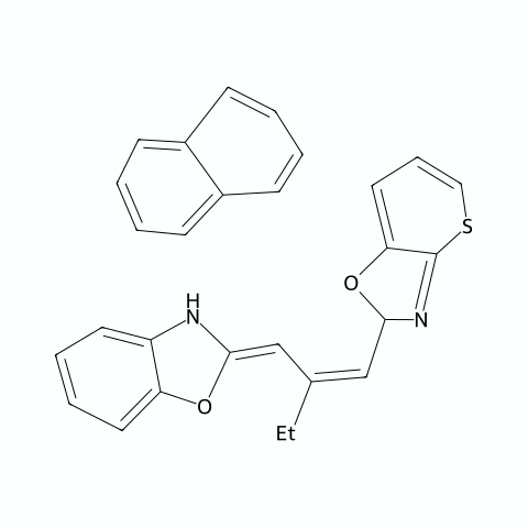 CCC(=CC1N=C2SC=CC=C2O1)C=C1Nc2ccccc2O1.c1ccc2ccccc2c1